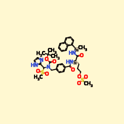 C[C@H](NC(=O)[C@H](CCCOS(C)(=O)=O)NC(=O)c1ccc(CN(C(=O)OC(C)(C)C)C(c2ncc[nH]2)S(C)(=O)=O)cc1)c1cccc2ccccc12